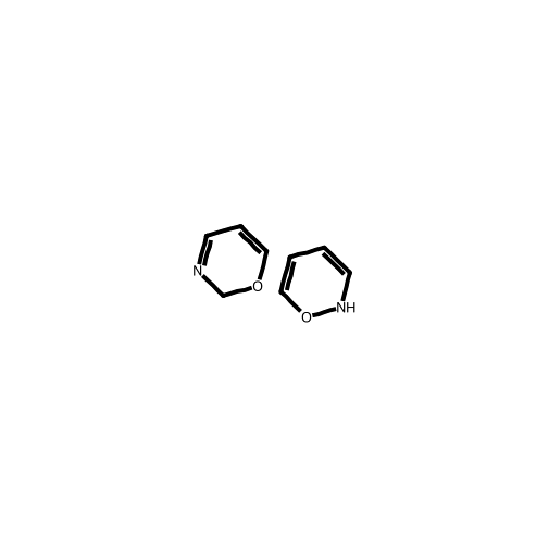 C1=CNOC=C1.C1=COCN=C1